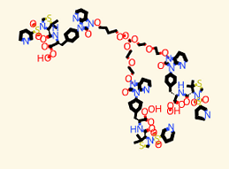 CC1(C)SCN(S(=O)(=O)c2cccnc2)[C@@H]1C(=O)N[C@@H](Cc1ccc(-n2c(=O)n(OCCCCOOC(OCCOCCOn3c(=O)n(-c4ccc(C[C@H](NC(=O)[C@H]5N(S(=O)(=O)c6cccnc6)CSC5(C)C)C(=O)OO)cc4)c4ncccc43)OCCOCCOn3c(=O)n(-c4ccc(C[C@H](NC(=O)[C@H]5N(S(=O)(=O)c6cccnc6)CSC5(C)C)C(=O)OO)cc4)c4ncccc43)c3cccnc32)cc1)C(=O)OO